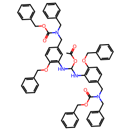 CC(=O)OC(Nc1cc(CN(Cc2ccccc2)C(=O)OCc2ccccc2)ccc1OCc1ccccc1)Nc1cc(CN(Cc2ccccc2)C(=O)OCc2ccccc2)ccc1OCc1ccccc1